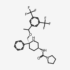 CC(OC[C@@]1(c2ccccc2)CC[C@H](NC(=O)N2CCCC2)CN1)c1cc(C(F)(F)F)cc(C(F)(F)F)c1